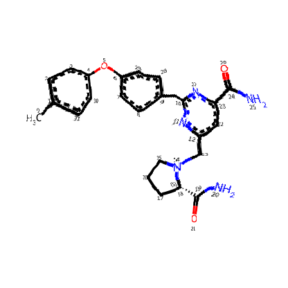 Cc1ccc(Oc2ccc(-c3nc(CN4CCC[C@H]4C(N)=O)cc(C(N)=O)n3)cc2)cc1